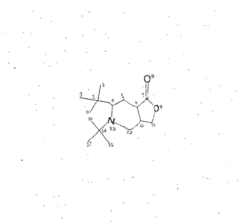 CC(C)(C)C1CC2C(=O)OCC2CN1C(C)(C)C